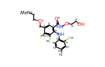 CNCCOCc1cc(C(=O)NOCCO)c(Nc2ccc(I)cc2F)c(F)c1F